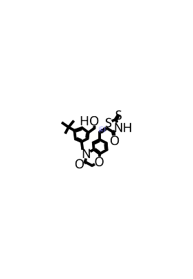 CC(C)(C)c1cc(CO)cc(CN2C(=O)COc3ccc(/C=C4/SC(=S)NC4=O)cc32)c1